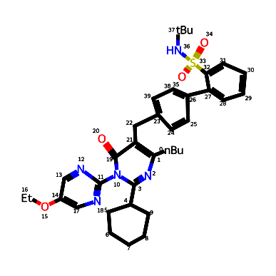 CCCCc1nc(C2CCCCC2)n(-c2ncc(OCC)cn2)c(=O)c1Cc1ccc(-c2ccccc2S(=O)(=O)NC(C)(C)C)cc1